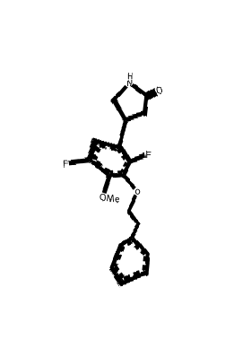 COc1c(F)cc(C2CNC(=O)C2)c(F)c1OCCc1ccccc1